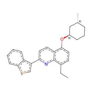 CCc1ccc(O[C@@H]2CCC[C@@H](C)C2)c2ccc(-c3csc4ccccc34)nc12